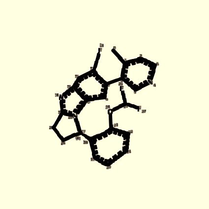 Cc1ccncc1-c1cc2c(cc1F)nc1n2[C@@H](c2ccccc2OC(F)F)CC1